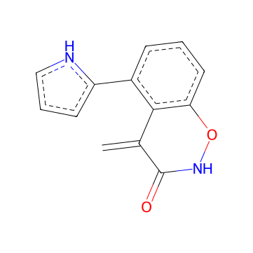 C=C1C(=O)NOc2cccc(-c3ccc[nH]3)c21